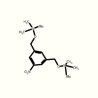 CC(C)(C)[Si](C)(C)OCc1cc(CO[Si](C)(C)C(C)(C)C)cc([N+](=O)[O-])c1